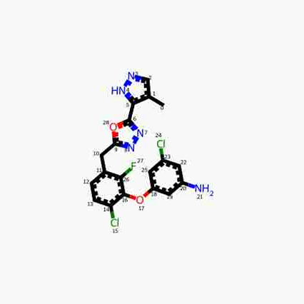 Cc1cn[nH]c1-c1nnc(Cc2ccc(Cl)c(Oc3cc(N)cc(Cl)c3)c2F)o1